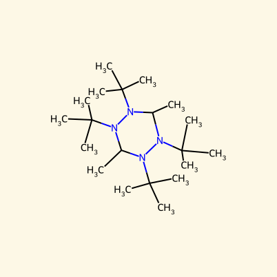 CC1N(C(C)(C)C)N(C(C)(C)C)C(C)N(C(C)(C)C)N1C(C)(C)C